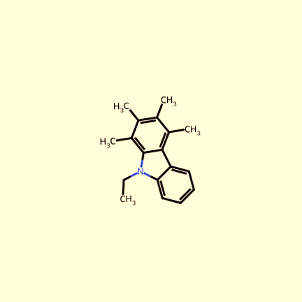 CCn1c2ccccc2c2c(C)c(C)c(C)c(C)c21